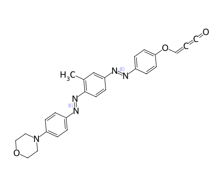 Cc1cc(/N=N/c2ccc(OC=C=C=O)cc2)ccc1/N=N/c1ccc(N2CCOCC2)cc1